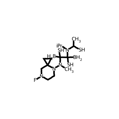 BC(S)(N(C(C)C)C(C)S)C(B)(S)N(C)N1CCN(F)CC12CC2